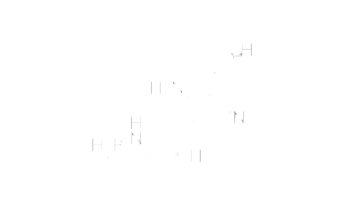 BNCC(C)CCC(N)C(C#N)CCC